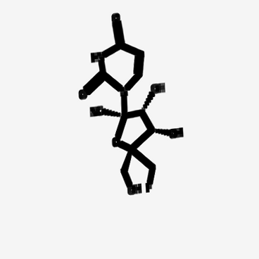 N#C[C@@]1(n2ccc(=O)[nH]c2=O)O[C@@](CO)(CF)[C@@H](O)[C@H]1O